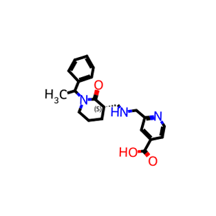 CC(c1ccccc1)N1CCC[C@@H](CNCc2cc(C(=O)O)ccn2)C1=O